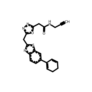 C#CCNC(=O)Cc1nnc(Cc2nc3ccc(C4=CCCC=C4)cc3s2)o1